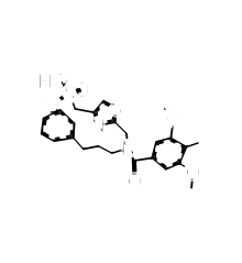 COc1cc(C(=O)N(CCCc2ccccc2)Cc2nc(CS(=O)(=O)O)cs2)cc(OC)c1C